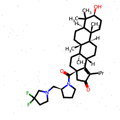 CC(C)C1=C2[C@H]3CC[C@@H]4[C@@]5(C)CC[C@H](O)C(C)(C)[C@@H]5CC[C@@]4(C)[C@]3(C)CC[C@@]2(C(=O)N2CCC[C@H]2CN2CCC(F)(F)C2)CC1=O